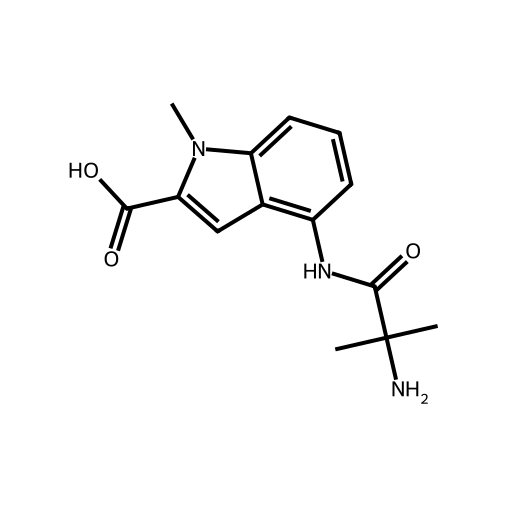 Cn1c(C(=O)O)cc2c(NC(=O)C(C)(C)N)cccc21